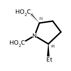 CC[C@@H]1CC[C@@H](C(=O)O)N1C(=O)O